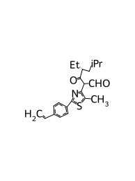 C=Cc1ccc(-c2nc(C(C=O)C(=O)[C@H](CC)CC(C)C)c(C)s2)cc1